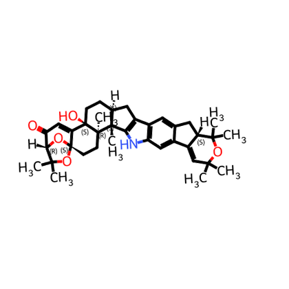 CC1(C)C=C2c3cc4[nH]c5c(c4cc3C[C@@H]2C(C)(C)O1)C[C@@H]1CC[C@@]2(O)C3=CC(=O)[C@@H]4O[C@@]3(CC[C@]2(C)[C@@]51C)OC4(C)C